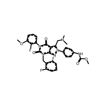 COC(=O)Nc1ccc(-n2nc3c(c2CN(C)C)c(=O)n(-c2cccc(OC)c2F)c(=O)n3Cc2c(F)cccc2F)cc1